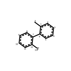 Cc1ccccc1-c1ccccc1F